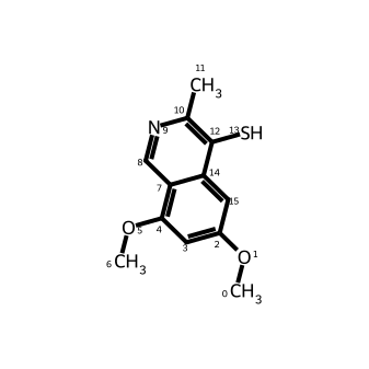 COc1cc(OC)c2cnc(C)c(S)c2c1